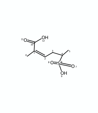 CC(=CCC(C)S(=O)(=O)O)C(=O)O